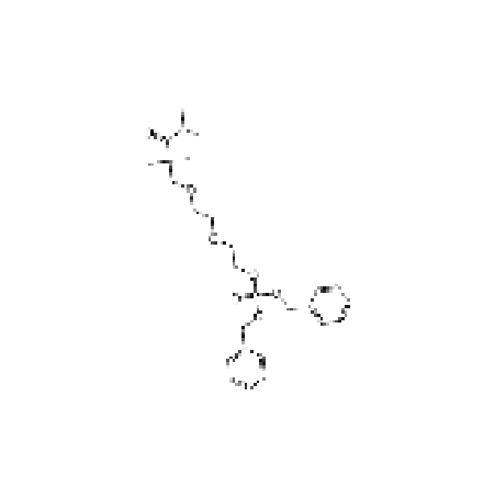 CC(C)C(=O)C(C)(C)COCCOCCOP(=O)(OCc1ccccc1)OCc1ccccc1